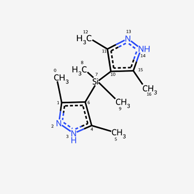 Cc1n[nH]c(C)c1[Si](C)(C)c1c(C)n[nH]c1C